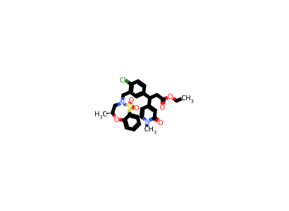 CCOC(=O)CC(c1ccc(Cl)c(CN2C[C@@H](C)Oc3ccccc3S2(=O)=O)c1)c1ccn(C)c(=O)c1